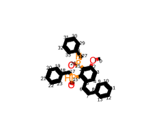 COc1ccc(/C=C\c2ccccc2)c([PH](=O)Cc2ccccc2)c1[PH](=O)Cc1ccccc1